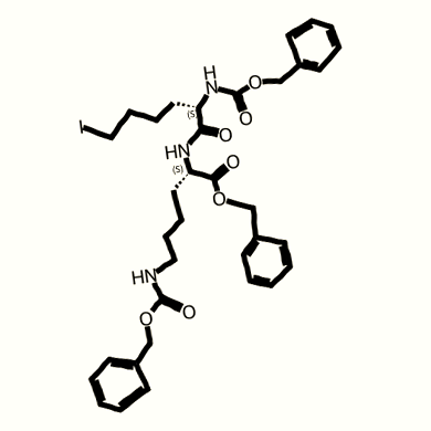 O=C(NCCCC[C@H](NC(=O)[C@H](CCCCI)NC(=O)OCc1ccccc1)C(=O)OCc1ccccc1)OCc1ccccc1